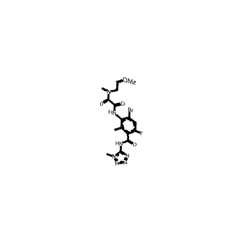 COCCN(C)C(=O)C(=O)Nc1c(Br)cc(F)c(C(=O)Nc2nnnn2C)c1C